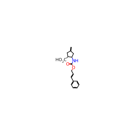 C=C1C[C@H](C(=O)O)[C@H](NC(=O)OC/C=C/c2ccccc2)C1